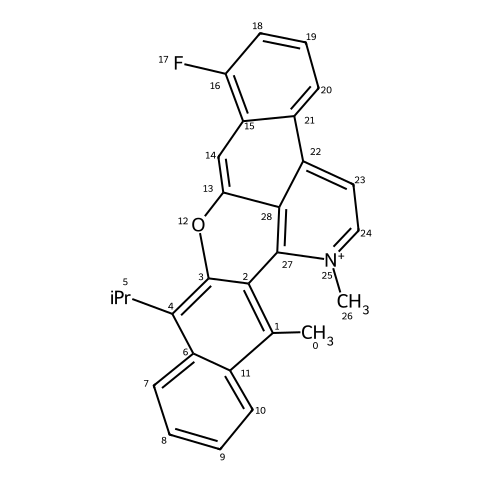 Cc1c2c(c(C(C)C)c3ccccc13)Oc1cc3c(F)cccc3c3cc[n+](C)c-2c13